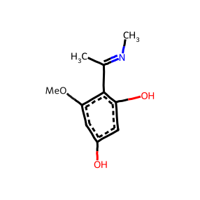 C/N=C(\C)c1c(O)cc(O)cc1OC